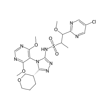 COc1ncnc(OC)c1-n1c(NS(=O)(=O)C(C)C(OC)c2ncc(Cl)cn2)nnc1[C@@H]1CCCOC1